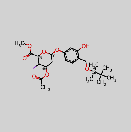 COC(=O)[C@H]1O[C@@H](Oc2ccc(CO[Si](C)(C)C(C)(C)C)c(O)c2)C[C@@H](OC(C)=O)C1I